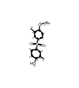 CCCCOc1ccc(S(=O)(=O)c2ccc(O)c(C)c2)cc1C